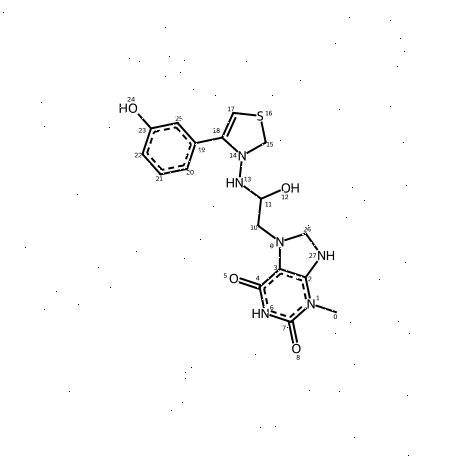 Cn1c2c(c(=O)[nH]c1=O)N(CC(O)NN1CSC=C1c1cccc(O)c1)CN2